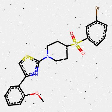 COc1ccccc1-c1csc(N2CCC(S(=O)(=O)c3cccc(Br)c3)CC2)n1